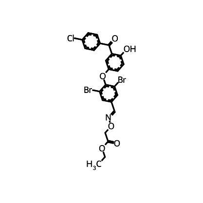 CCOC(=O)CON=Cc1cc(Br)c(Oc2ccc(O)c(C(=O)c3ccc(Cl)cc3)c2)c(Br)c1